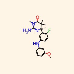 COc1cccc(Nc2ccc(F)c([C@@]3(C)N=C(N)N(C)C(=O)C3(C)C)c2)c1